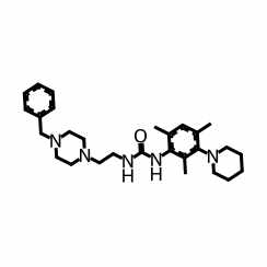 Cc1cc(C)c(N2CCCCC2)c(C)c1NC(=O)NCCN1CCN(Cc2ccccc2)CC1